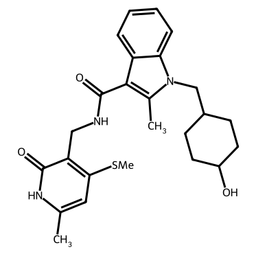 CSc1cc(C)[nH]c(=O)c1CNC(=O)c1c(C)n(CC2CCC(O)CC2)c2ccccc12